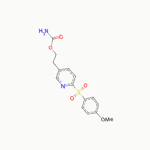 COc1ccc(S(=O)(=O)c2ccc(CCOC(N)=O)cn2)cc1